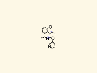 C=C/N=C(Oc1cccnc1)\C(=C/C)c1ccccc1OC